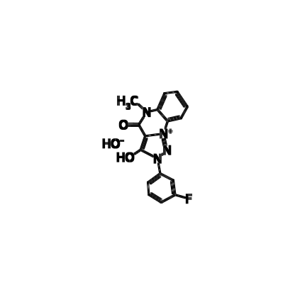 Cn1c(=O)c2c(O)n(-c3cccc(F)c3)n[n+]2c2ccccc21.[OH-]